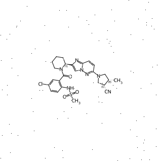 C[C@H]1CN(c2ccc3nc([C@@H]4CCCCN4C(=O)c4cc(Cl)ccc4NS(C)(=O)=O)cn3n2)C[C@H]1C#N